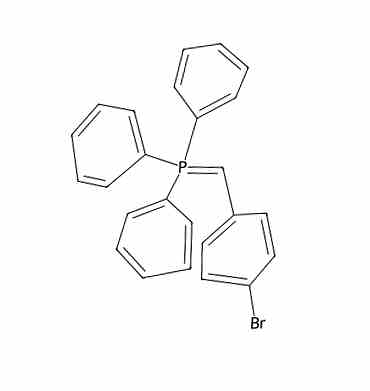 Brc1ccc(C=P(c2ccccc2)(c2ccccc2)c2ccccc2)cc1